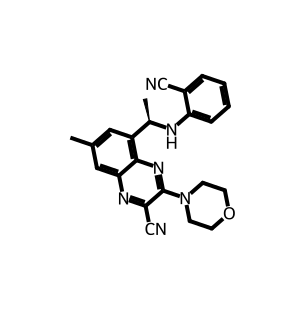 Cc1cc([C@@H](C)Nc2ccccc2C#N)c2nc(N3CCOCC3)c(C#N)nc2c1